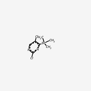 [CH3][Sn]([CH3])([CH3])[c]1nc(Cl)ncc1Cl